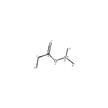 CCC(=O)O[S+](C)C